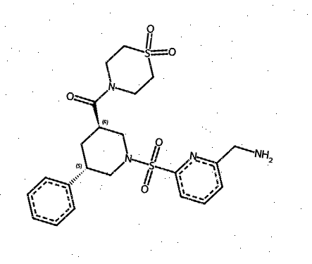 NCc1cccc(S(=O)(=O)N2C[C@H](C(=O)N3CCS(=O)(=O)CC3)C[C@@H](c3ccccc3)C2)n1